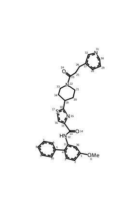 COc1ccc(-c2ccccc2)c(NC(=O)c2csc(C3CCN(C(=O)CCc4cccnc4)CC3)n2)c1